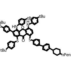 CCCCCC1CCC(c2ccc(-c3ccc(Sc4ccc(Nc5ccc(C(C)(C)C)cc5)c5c4C(=O)c4c(Sc6ccc(C(C)(C)C)cc6)cc(-c6ccc(OCCCC)cc6)c(Nc6ccc(C(C)(C)C)cc6)c4C5=O)cc3)cc2)CC1